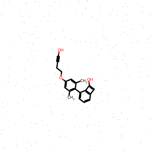 Cc1cc(OCCC#CO)cc(C)c1-c1cccc2c1C(O)=C2